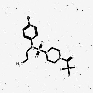 CCCN(c1ccc(Br)cc1)S(=O)(=O)N1CCN(C(=O)C(F)(F)F)CC1